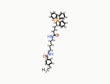 CCc1ccc(C(=O)NCCCCCCNC(=O)CCCCC[PH](c2ccccc2)(c2ccccc2)c2ccccc2)cc1